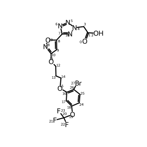 O=C(O)Cn1nnc(-c2cc(OCCCOc3cc(OC(F)(F)F)ccc3Br)no2)n1